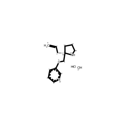 C=CC[C@]1(COc2cccnc2)CCCN1.Cl.Cl